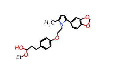 CCOC(O)CCc1ccc(OCCn2c(C)ccc2-c2ccc3c(c2)OCO3)cc1